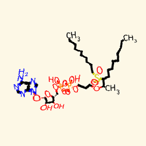 CCCCCCCCCCS(=O)(=O)C(CCCCCCCCC)C(C)OCCCOP(=O)(O)OP(=O)(O)OC[C@H]1O[C@@H](On2cnc3c(N)ncnc32)[C@@H](O)[C@@H]1O